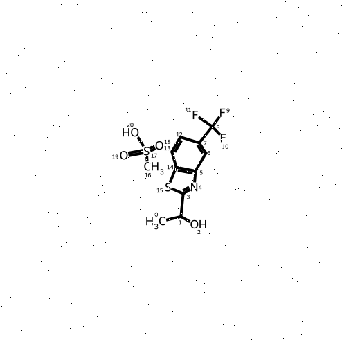 CC(O)c1nc2cc(C(F)(F)F)ccc2s1.CS(=O)(=O)O